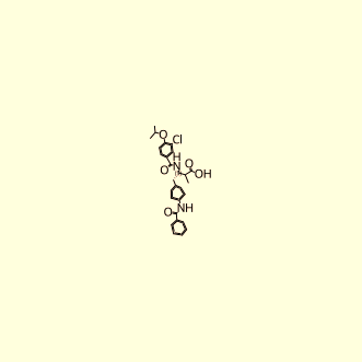 CC(C)Oc1ccc(C(=O)N[C@@H](Cc2ccc(NC(=O)c3ccccc3)cc2)C(C)C(=O)O)cc1Cl